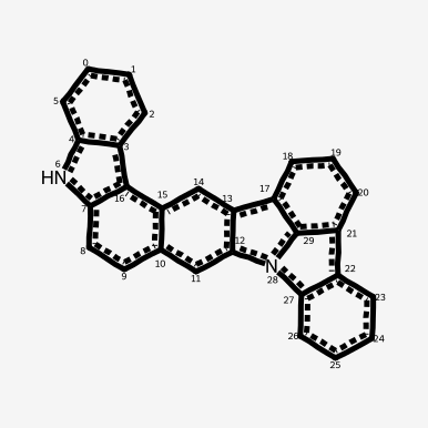 c1ccc2c(c1)[nH]c1ccc3cc4c(cc3c12)c1cccc2c3ccccc3n4c21